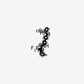 CCCCc1ccccc1NC(=O)c1ccc(-c2ccc(NC(=O)c3oc(N4CCCC(C)C4)nc3C(F)(F)F)cc2)cc1